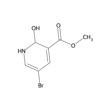 COC(=O)C1=CC(Br)=CNC1O